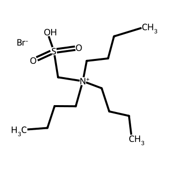 CCCC[N+](CCCC)(CCCC)CS(=O)(=O)O.[Br-]